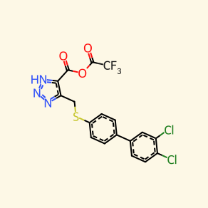 O=C(OC(=O)C(F)(F)F)c1[nH]nnc1CSc1ccc(-c2ccc(Cl)c(Cl)c2)cc1